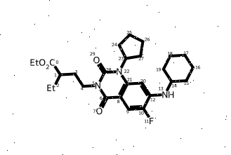 CCOC(=O)C(CC)CCn1c(=O)c2cc(F)c(NC3CCCCC3)cc2n(C2CCCC2)c1=O